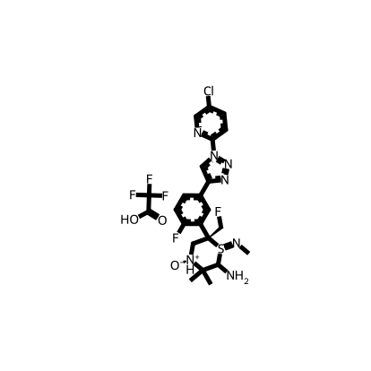 CN=S1C(N)C(C)(C)[N@H+]([O-])C[C@]1(CF)c1cc(-c2cn(-c3ccc(Cl)cn3)nn2)ccc1F.O=C(O)C(F)(F)F